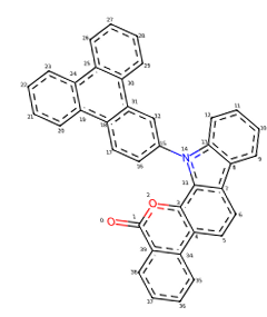 O=c1oc2c(ccc3c4ccccc4n(-c4ccc5c6ccccc6c6ccccc6c5c4)c32)c2ccccc12